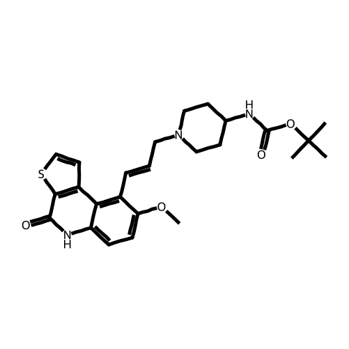 COc1ccc2[nH]c(=O)c3sccc3c2c1C=CCN1CCC(NC(=O)OC(C)(C)C)CC1